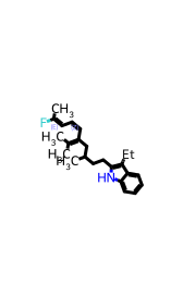 CCc1c(CCC(C)CC(/C=C\C=C(/C)F)=C(C)C)[nH]c2ccccc12